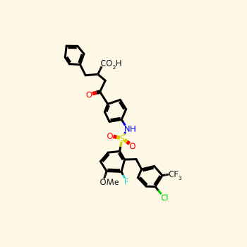 COc1ccc(S(=O)(=O)Nc2ccc(C(=O)CC(Cc3ccccc3)C(=O)O)cc2)c(Cc2ccc(Cl)c(C(F)(F)F)c2)c1F